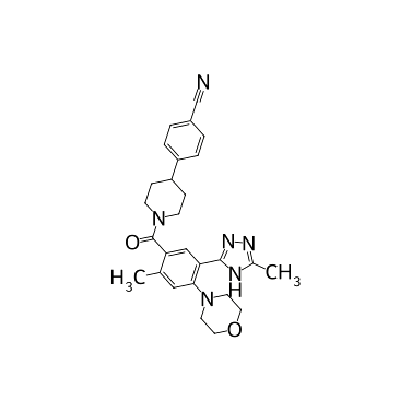 Cc1nnc(-c2cc(C(=O)N3CCC(c4ccc(C#N)cc4)CC3)c(C)cc2N2CCOCC2)[nH]1